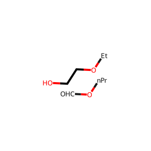 CCCOC=O.CCOCCO